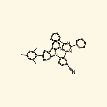 Cc1cc(C)c(-c2ccc3c(c2)c2ccccc2n3-c2ccc(C#N)cc2-c2nc(-c3ccccc3)nc(-c3ccccc3)n2)c(C)c1